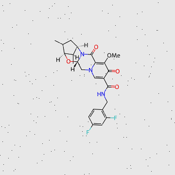 COc1c2n(cc(C(=O)NCc3ccc(F)cc3F)c1=O)C[C@@H]1O[C@H]3C(C)C[C@H]([C@H]3C)N1C2=O